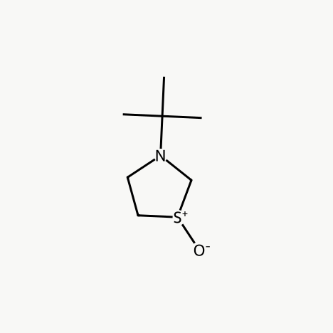 CC(C)(C)N1CC[S+]([O-])C1